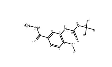 COc1ccc(C(=O)NN)cc1NC(=O)OC(C)(C)C